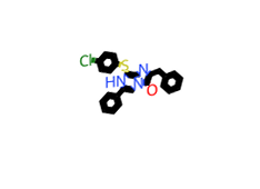 O=c1c(Cc2ccccc2)nc2c(Sc3ccc(Cl)cc3)[nH]c(-c3ccccc3)cn1-2